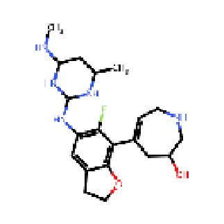 CNC1CC(C)NC(Nc2cc3c(c(C4=CCNCC(O)C4)c2F)OCC3)N1